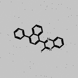 Ic1nc2ccccc2nc1-c1ccc(-c2ccccc2)c2ccccc12